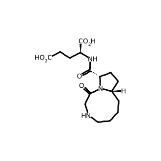 O=C(O)CC[C@H](NC(=O)[C@@H]1CC[C@@H]2CCCCNCC(=O)N21)C(=O)O